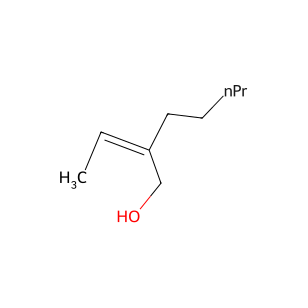 CC=C(CO)CCCCC